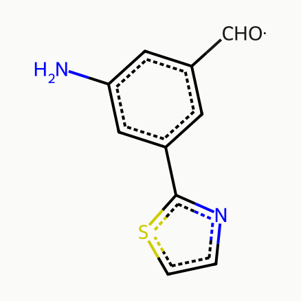 Nc1cc([C]=O)cc(-c2nccs2)c1